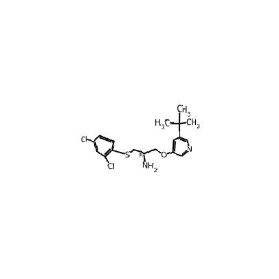 CC(C)(C)c1cncc(OC[C@@H](N)CSc2ccc(Cl)cc2Cl)c1